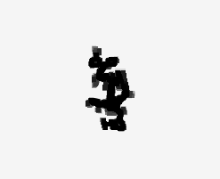 C=Cc1c(CO)cnn1CC(=O)OC